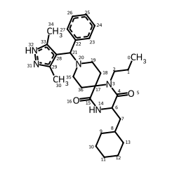 CCCN1C(=O)C(CC2CCCCC2)NC(=O)C12CCN(C(c1ccccc1)c1c(C)n[nH]c1C)CC2